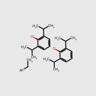 CC(C)c1cccc(C(C)C)c1[O-].CC(C)c1cccc(C(C)C)c1[O-].C[CH2][Al+2]